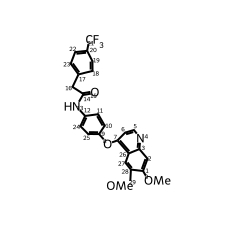 COc1cc2nccc(Oc3ccc(NC(=O)Cc4ccc(C(F)(F)F)cc4)cc3)c2cc1OC